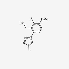 COc1ccc(-n2cc(C)nn2)c(CBr)c1F